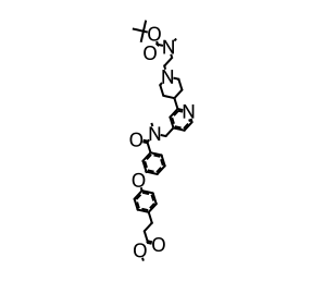 COC(=O)CCc1ccc(Oc2cccc(C(=O)N(C)Cc3ccnc(C4CCN(CCN(C)C(=O)OC(C)(C)C)CC4)c3)c2)cc1